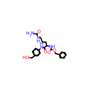 NC(=O)NCCCC(NC(=O)OCc1ccccc1)C(=O)Nc1ccc(CO)cc1